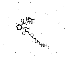 Cc1cnc(NC(=O)c2ccccc2NC(=O)CCOCCOCCN)[nH]1